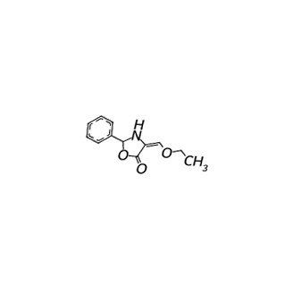 CCOC=C1NC(c2ccccc2)OC1=O